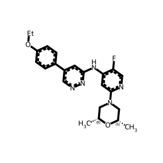 CCOc1ccc(-c2cnnc(Nc3cc(N4C[C@@H](C)O[C@@H](C)C4)ncc3F)c2)cc1